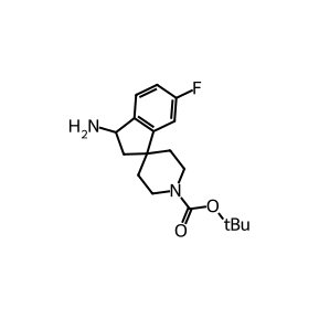 CC(C)(C)OC(=O)N1CCC2(CC1)CC(N)c1ccc(F)cc12